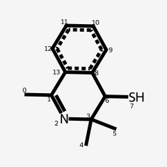 CC1=NC(C)(C)C(S)c2ccccc21